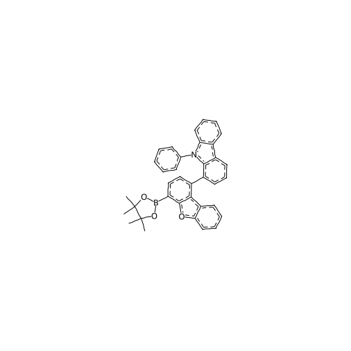 CC1(C)OB(c2ccc(-c3cccc4c5ccccc5n(-c5ccccc5)c34)c3c2oc2ccccc23)OC1(C)C